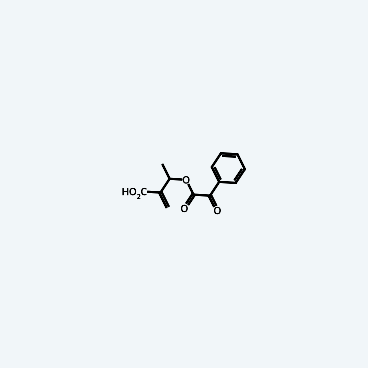 C=C(C(=O)O)C(C)OC(=O)C(=O)c1ccccc1